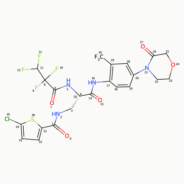 O=C(NC[C@H](NC(=O)C(F)(F)C(F)F)C(=O)Nc1ccc(N2CCOCC2=O)cc1C(F)(F)F)c1ccc(Cl)s1